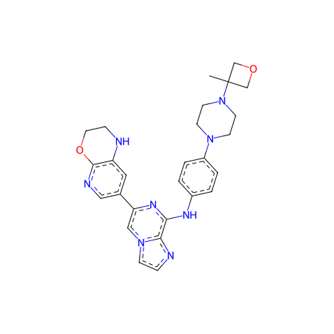 CC1(N2CCN(c3ccc(Nc4nc(-c5cnc6c(c5)NCCO6)cn5ccnc45)cc3)CC2)COC1